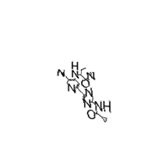 CC[C@H](Nc1cc(-c2cnc(NC(=O)C3CC3)cn2)ncc1C#N)C(=O)N(C)C